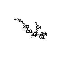 C[C@@](CO)(NCc1cc(Cl)c(O[C@H]2CCc3c(-c4cccc(OCCCN5CC(O)C5)c4Cl)cccc32)cc1OCc1cncc(C#N)c1)C(=O)O